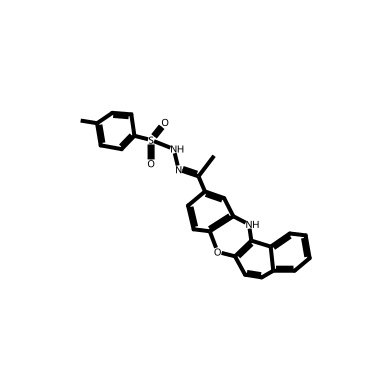 C/C(=N\NS(=O)(=O)c1ccc(C)cc1)c1ccc2c(c1)Nc1c(ccc3ccccc13)O2